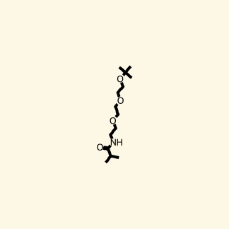 CC(C)C(=O)NCCOCCOCCOC(C)(C)C